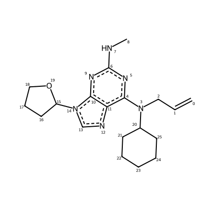 C=CCN(c1nc(NC)nc2c1ncn2C1CCCO1)C1CCCCC1